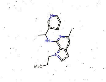 COCCn1ccc2cc(C)nc(NC(C)c3cccnc3)c21